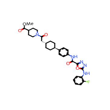 COC(=O)C1CCN(C(=O)C[C@H]2CC[C@H](c3ccc(NC(=O)c4nnc(Nc5ccccc5F)o4)cc3)CC2)CC1